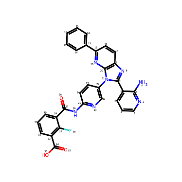 Nc1ncccc1-c1nc2ccc(-c3ccccc3)nc2n1-c1ccc(NC(=O)c2cccc(C(=O)O)c2F)nc1